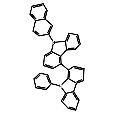 c1ccc(-n2c3ccccc3c3cccc(-c4cccc5c4c4ccccc4n5-c4ccc5ccccc5c4)c32)cc1